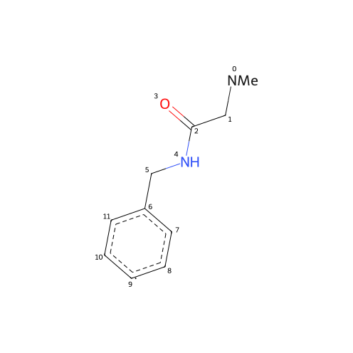 CNCC(=O)NCc1cc[c]cc1